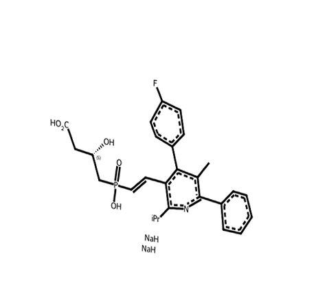 Cc1c(-c2ccccc2)nc(C(C)C)c(C=CP(=O)(O)C[C@@H](O)CC(=O)O)c1-c1ccc(F)cc1.[NaH].[NaH]